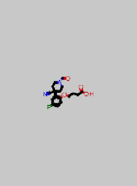 N#CC1(c2cc(F)ccc2OCCCC(=O)O)CCN(C=O)CC1